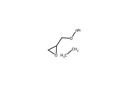 [CH2]C.[CH2]CCOCC1CO1